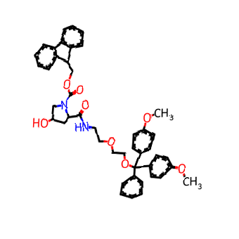 COc1ccc(C(OCCOCCNC(=O)C2CC(O)CN2C(=O)OCC2c3ccccc3-c3ccccc32)(c2ccccc2)c2ccc(OC)cc2)cc1